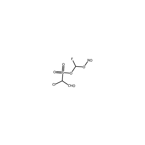 O=CC(Cl)S(=O)(=O)OC(F)ON=O